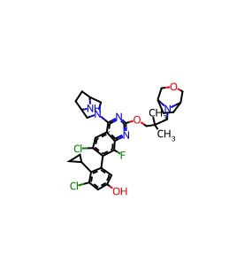 CC(C)(COc1nc(N2CC3CCC(C2)N3)c2cc(Cl)c(-c3cc(O)cc(Cl)c3C3CC3)c(F)c2n1)CN1C2CCC1COC2